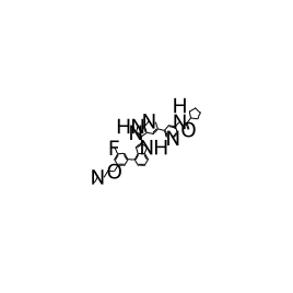 CN(C)CCOc1cc(F)cc(-c2cccc3[nH]c(-c4n[nH]c5ncc(-c6cncc(NC(=O)C7CCCC7)c6)cc45)cc23)c1